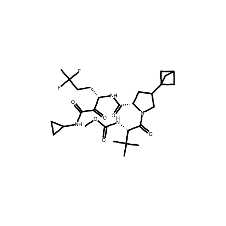 COC(=O)N[C@H](C(=O)N1CC(C23CC(C2)C3)C[C@H]1C(=O)N[C@@H](CCC(C)(F)F)C(=O)C(=O)NC1CC1)C(C)(C)C